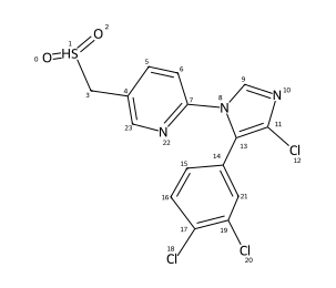 O=[SH](=O)Cc1ccc(-n2cnc(Cl)c2-c2ccc(Cl)c(Cl)c2)nc1